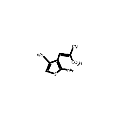 CCCc1csc(CCC)c1C=C(C#N)C(=O)O